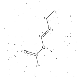 [CH2]C(=O)O/C=N/CC